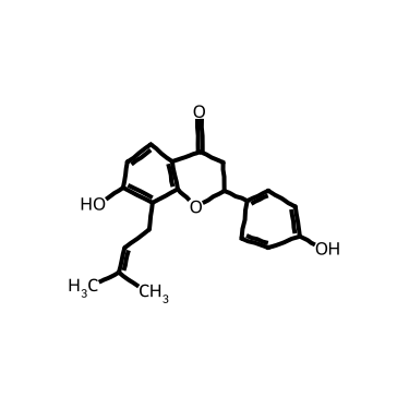 CC(C)=CCc1c(O)ccc2c1OC(c1ccc(O)cc1)CC2=O